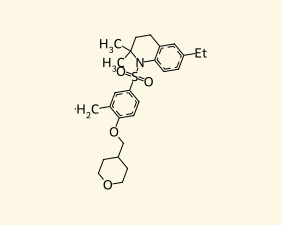 [CH2]c1cc(S(=O)(=O)N2c3ccc(CC)cc3CCC2(C)C)ccc1OCC1CCOCC1